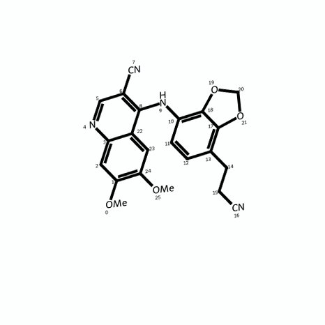 COc1cc2ncc(C#N)c(Nc3ccc(CCC#N)c4c3OCO4)c2cc1OC